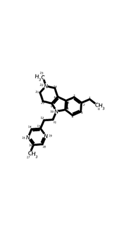 CCc1ccc2c(c1)c1c(n2CCc2cnc(C)cn2)CCN(C)C1